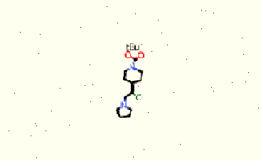 CC(C)(C)OC(=O)N1CCC(=C(Cl)CN2CCCC2)CC1